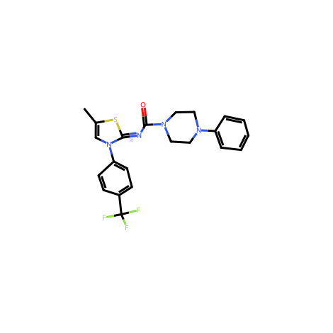 Cc1cn(-c2ccc(C(F)(F)F)cc2)/c(=N/C(=O)N2CCN(c3ccccc3)CC2)s1